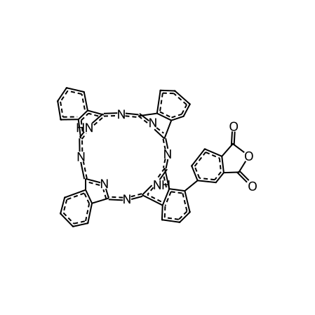 O=C1OC(=O)c2cc(-c3cccc4c5nc6nc(nc7[nH]c(nc8nc(nc([nH]5)c34)-c3ccccc3-8)c3ccccc73)-c3ccccc3-6)ccc21